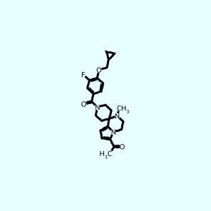 CC(=O)c1ccc2n1CCN(C)C21CCN(C(=O)c2ccc(OCC3CC3)c(F)c2)CC1